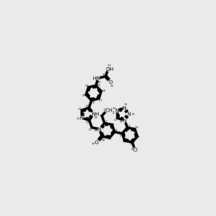 CCc1cc(-c2cc(Cl)ccc2-n2cnnn2)cc(=O)n1Cc1ncc(-c2ccc(NC(=O)O)cc2)[nH]1